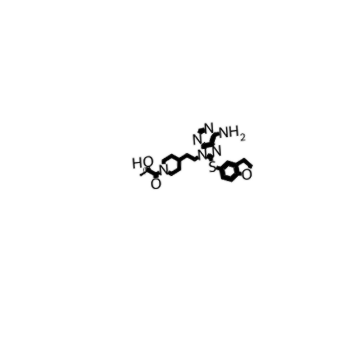 C[C@@H](O)C(=O)N1CCC(CCn2c(Sc3ccc4c(c3)CCO4)nc3c(N)ncnc32)CC1